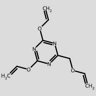 C=COCc1nc(OC=C)nc(OC=C)n1